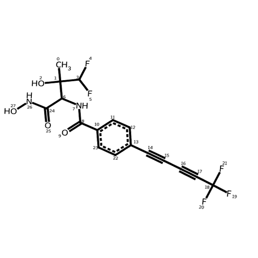 CC(O)(C(F)F)C(NC(=O)c1ccc(C#CC#CC(F)(F)F)cc1)C(=O)NO